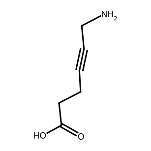 NCC#CCCC(=O)O